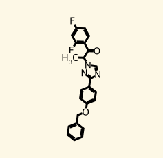 CC(C(=O)c1ccc(F)cc1F)n1cnc(-c2ccc(OCc3ccccc3)cc2)n1